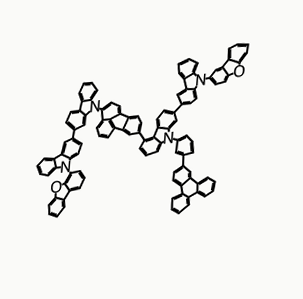 c1cc(-c2ccc3c4ccccc4c4ccccc4c3c2)cc(-n2c3cc(-c4ccc5c(c4)c4ccccc4n5-c4ccc5oc6ccccc6c5c4)ccc3c3c(-c4ccc5c(c4)-c4cccc6c(-n7c8ccccc8c8ccc(-c9ccc%10c(c9)c9ccccc9n%10-c9cccc%10c9oc9ccccc9%10)cc87)ccc-5c46)cccc32)c1